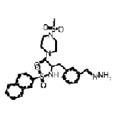 CS(=O)(=O)N1CCN(C(=O)C(Cc2cccc(C=NN)c2)NS(=O)(=O)c2ccc3ccccc3c2)CC1